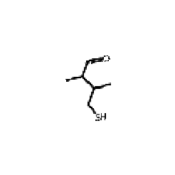 CC(C=O)C(C)CS